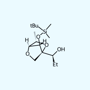 CC[C@H](O)[C@@]12CO[C@@H]([C@H](C)O1)[C@@H]2O[Si](C)(C)C(C)(C)C